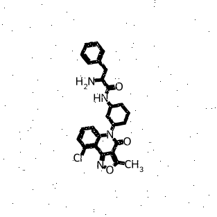 Cc1onc2c1c(=O)n(C1CCCC(NC(=O)C(N)Cc3ccccc3)C1)c1cccc(Cl)c21